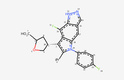 CC(C)c1c([C@@H]2COC(C(=O)O)C2)c2c(F)c3[nH]ncc3cc2n1-c1ccc(F)cc1